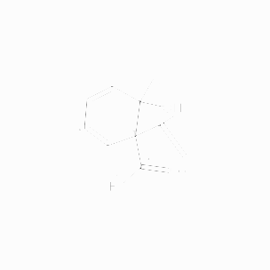 C=C(C)C1(C(=O)CC)C=CC=CC1(C)O